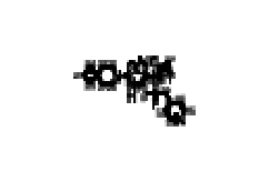 N#CC1(NC(=O)[C@H](CC(F)(F)Cc2ccncc2)NC(=O)N2CCC3(CCC3)CC2)CC1